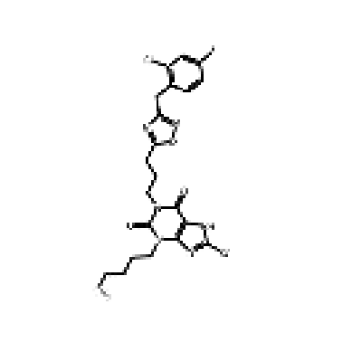 CCCCCn1c(=O)n(CCCc2nc(Cc3ccc(F)cc3Cl)no2)c(=O)c2[nH]c(Cl)nc21